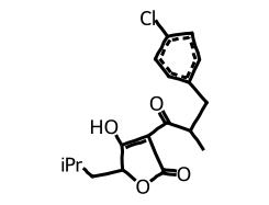 CC(C)CC1OC(=O)C(C(=O)C(C)Cc2ccc(Cl)cc2)=C1O